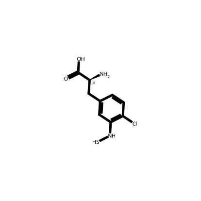 N[C@@H](Cc1ccc(Cl)c(NS)c1)C(=O)O